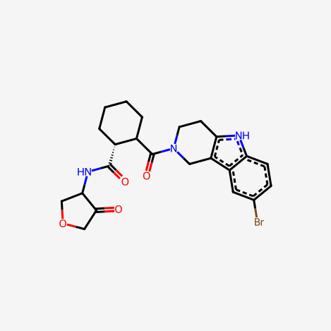 O=C1COCC1NC(=O)[C@@H]1CCCCC1C(=O)N1CCc2[nH]c3ccc(Br)cc3c2C1